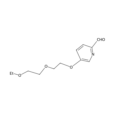 CCOCCOCCOc1ccc(C=O)nc1